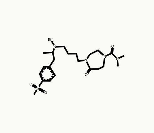 CCN(CCCCN1CCN(C(=O)N(C)C)CCC1=O)C(C)Cc1ccc(S(C)(=O)=O)cc1